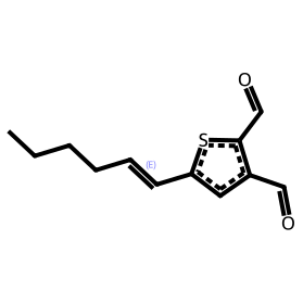 CCCC/C=C/c1cc(C=O)c(C=O)s1